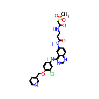 CS(=O)(=O)CC(=O)NCCC(=O)Nc1ccc2ncnc(Nc3ccc(OCc4cccnc4)c(Cl)c3)c2c1